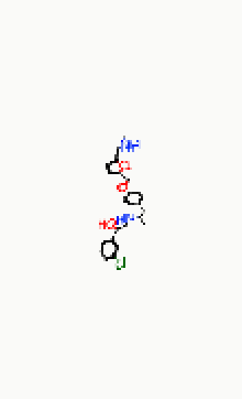 CNCc1ccc(COc2ccc(CC(C)NCC(O)c3cccc(Cl)c3)cc2)o1